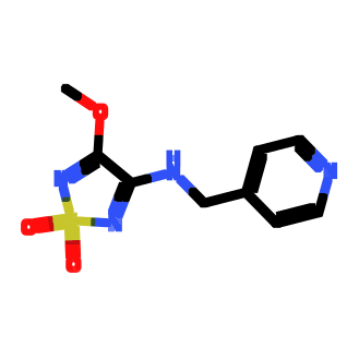 COC1=NS(=O)(=O)N=C1NCc1ccncc1